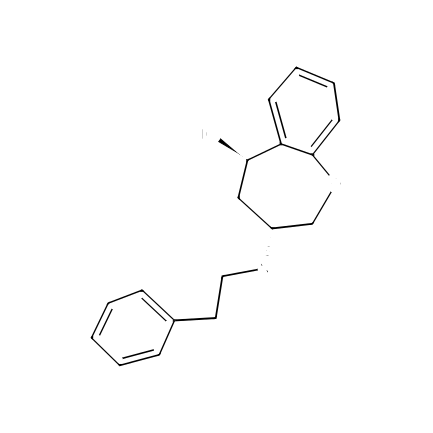 O[C@@H]1C[C@@H](NCCc2ccccc2)COc2ccccc21